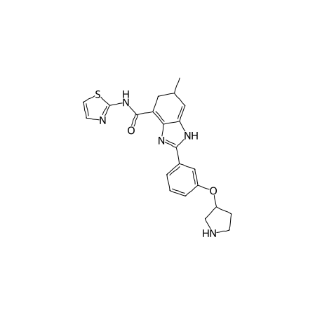 CC1C=c2[nH]c(-c3cccc(OC4CCNC4)c3)nc2=C(C(=O)Nc2nccs2)C1